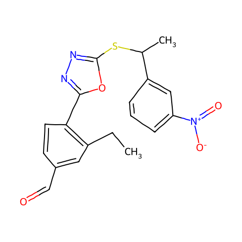 CCc1cc(C=O)ccc1-c1nnc(SC(C)c2cccc([N+](=O)[O-])c2)o1